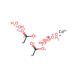 CC(=O)[O-].CC(=O)[O-].O.O.O.O.O.O.[Cd+2]